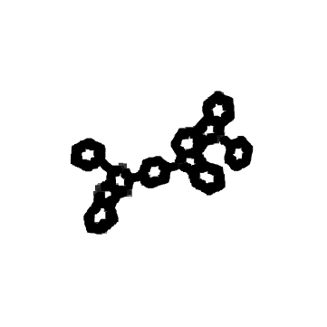 c1ccc(-c2nc(-c3ccc(-n4c5ccccc5c5c4ccc4c6ccccc6n(-c6ccccc6)c45)cc3)nc3c2sc2ccccc23)cc1